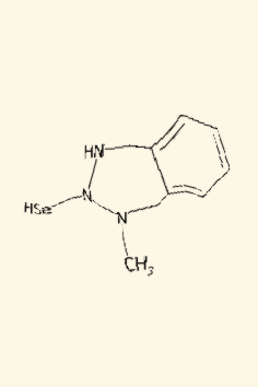 CN1c2ccccc2NN1[SeH]